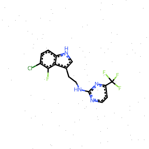 Fc1c(Cl)ccc2[nH]cc(CCNc3nccc(C(F)(F)F)n3)c12